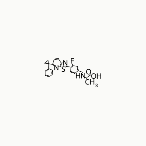 C[C@@H](NCc1ccc(-c2nc3ccc(C4(c5ccccc5)CC4)nc3s2)c(F)c1)C(=O)O